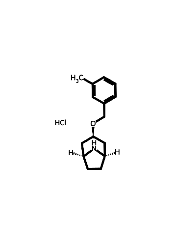 Cc1cccc(CO[C@H]2C[C@H]3CC[C@@H](C2)N3)c1.Cl